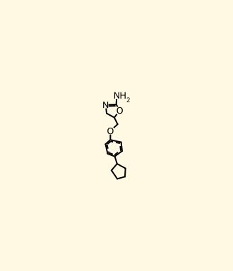 NC1=NCC(COc2ccc(C3CCCC3)cc2)O1